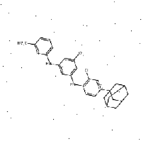 O=C(O)c1cccc(Nc2cc(Nc3ccc(C45CC6CC(CC(C6)C4)C5)cc3Cl)cc(C(F)(F)F)c2)n1